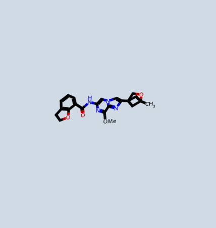 COc1nc(NC(=O)c2cccc3c2OCC3)cn2cc(C34COC(C)(C3)C4)nc12